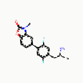 Cn1c(=O)oc2ccc(-c3cc(F)c(CC(N)C#N)cc3F)cc21